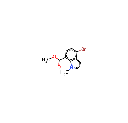 COC(=O)c1ccc(Br)c2ccn(C)c12